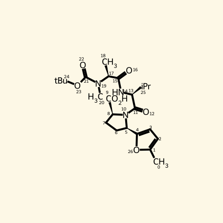 Cc1ccc([C@H]2CC[C@@H](C(=O)O)N2C(=O)[C@@H](NC(=O)[C@H](C)N(C)C(=O)OC(C)(C)C)C(C)C)o1